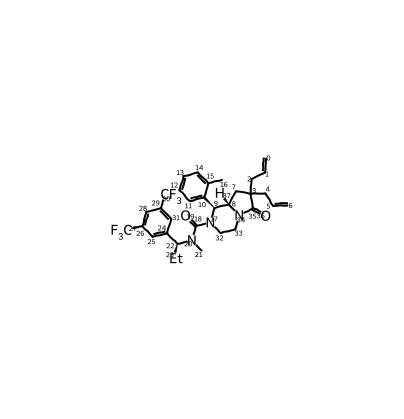 C=CCC1(CC=C)C[C@H]2[C@H](c3ccccc3C)N(C(=O)N(C)[C@@H](CC)c3cc(C(F)(F)F)cc(C(F)(F)F)c3)CCN2C1=O